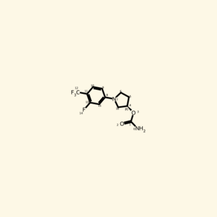 NC(=O)O[C@@H]1CCN(c2ccc(C(F)(F)F)c(F)c2)C1